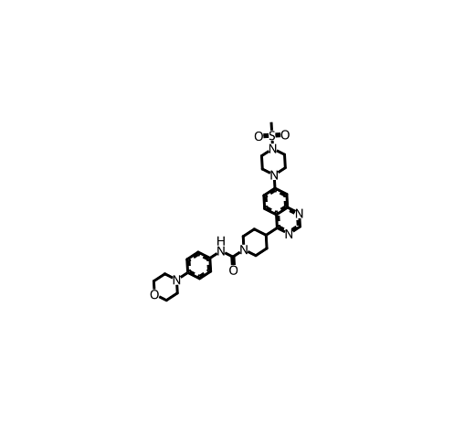 CS(=O)(=O)N1CCN(c2ccc3c(C4CCN(C(=O)Nc5ccc(N6CCOCC6)cc5)CC4)ncnc3c2)CC1